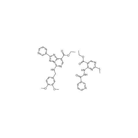 CCOC(=O)c1cnc(NCc2ccc(OC)c(OC)c2)n2nc(-c3cccnc3)nc12.CCOC(=O)c1cnc(SC)nc1NNC(=O)c1cccnc1